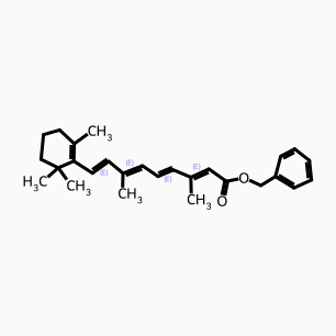 CC1=C(/C=C/C(C)=C/C=C/C(C)=C/C(=O)OCc2ccccc2)C(C)(C)CCC1